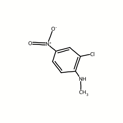 CNc1ccc([N+](=O)[O-])cc1Cl